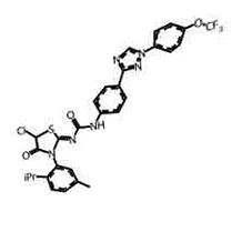 Cc1ccc(C(C)C)c(N2C(=O)C(Cl)S/C2=N\C(=O)Nc2ccc(-c3ncn(-c4ccc(OC(F)(F)F)cc4)n3)cc2)c1